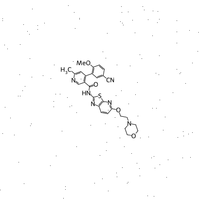 COc1ccc(C#N)cc1-c1cc(C)ncc1C(=O)Nc1nc2ccc(OCCN3CCOCC3)nc2s1